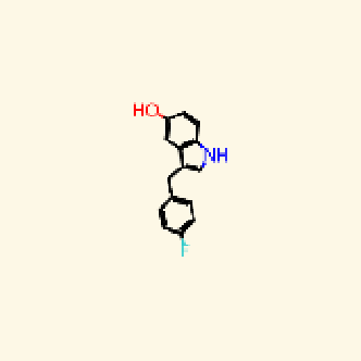 Oc1ccc2[nH]cc(Cc3ccc(F)cc3)c2c1